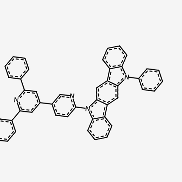 c1ccc(-c2cc(-c3ccc(-n4c5ccccc5c5cc6c(cc54)c4ccccc4n6-c4ccccc4)nc3)cc(-c3ccccc3)n2)cc1